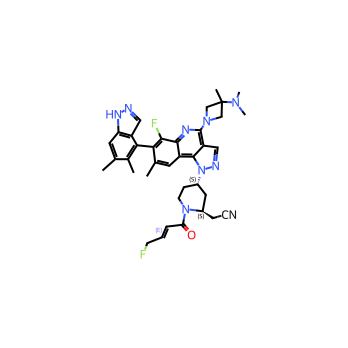 Cc1cc2[nH]ncc2c(-c2c(C)cc3c(nc(N4CC(C)(N(C)C)C4)c4cnn([C@H]5CCN(C(=O)/C=C/CF)[C@H](CC#N)C5)c43)c2F)c1C